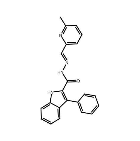 Cc1cccc(/C=N/NC(=O)c2[nH]c3ccccc3c2-c2ccccc2)n1